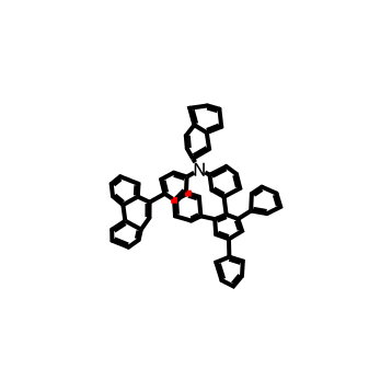 c1ccc(-c2cc(-c3ccccc3)c(-c3cccc(N(c4ccc(-c5cc6ccccc6c6ccccc56)cc4)c4ccc5ccccc5c4)c3)c(-c3ccccc3)c2)cc1